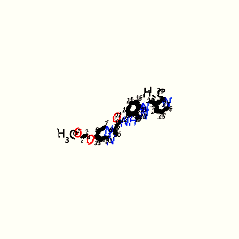 COCCOc1ccn2c(C(=O)Nc3cccc4c3cnn4Cc3cccnc3C)cnc2c1